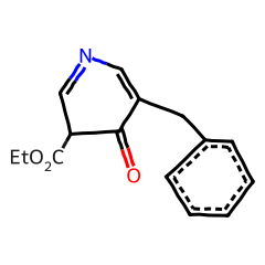 CCOC(=O)C1C=NC=C(Cc2ccccc2)C1=O